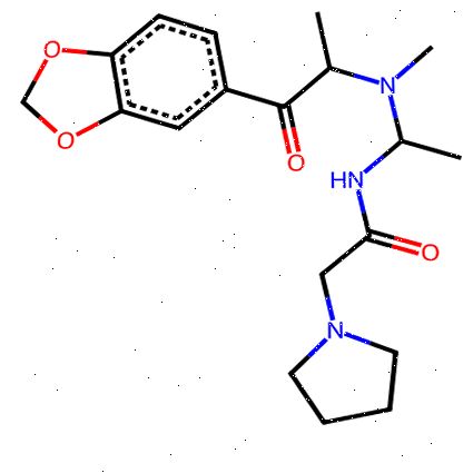 CC(NC(=O)CN1CCCC1)N(C)C(C)C(=O)c1ccc2c(c1)OCO2